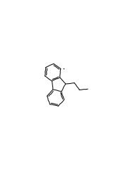 CCCC1c2[c]cccc2-c2ccccc21